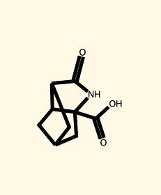 O=C1NC2(C(=O)O)CC3CC1C2C3